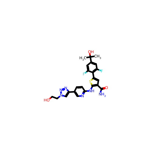 CC(C)(O)c1cc(F)c(-c2cc(C(N)=O)c(Nc3ccc(-c4cn(CCO)nn4)cn3)s2)c(F)c1